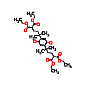 CCOC(=O)C(CCC(C)(C)C1=CC(=O)C(C(C)(C)CCC(C(=O)OCC)C(=O)OCC)=CC1=O)C(=O)OCC